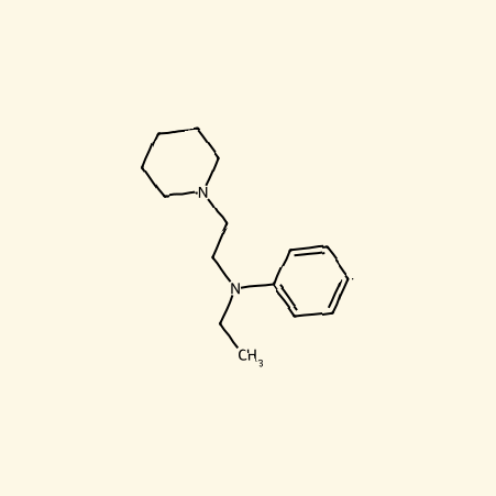 CCN(CCN1CCCCC1)c1cc[c]cc1